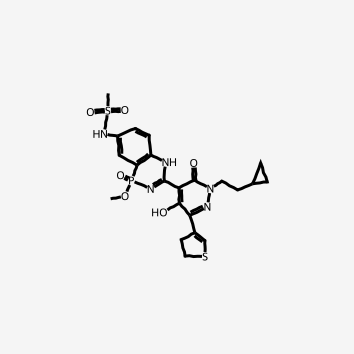 COP1(=O)N=C(c2c(O)c(C3=CSCC3)nn(CCC3CC3)c2=O)Nc2ccc(NS(C)(=O)=O)cc21